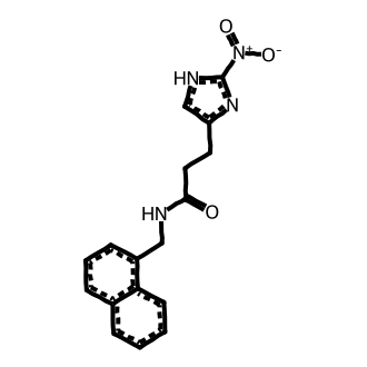 O=C(CCc1c[nH]c([N+](=O)[O-])n1)NCc1cccc2ccccc12